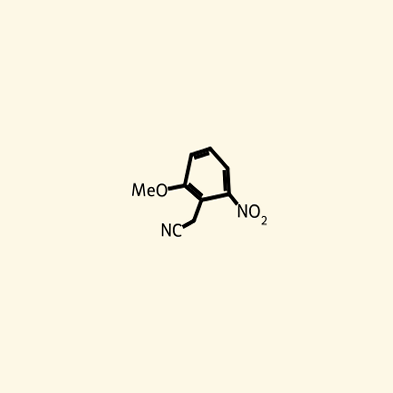 COc1cccc([N+](=O)[O-])c1CC#N